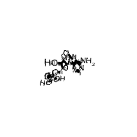 Nc1ncnc2c1nc(Cl)n2[C@@H]1O[C@H](COP(=O)(O)O)C(O)[C@@H]1O